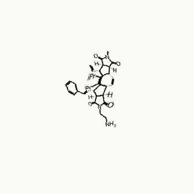 C=C[C@H]1C(=CC(C)C)[C@@H](/C=C\[C@H]2C(=CC(C)C)[C@@H](C=Cc3ccccc3)[C@@H]3C(=O)N(CCN)C(=O)[C@@H]32)[C@@H]2C(=O)N(C)C(=O)[C@@H]21